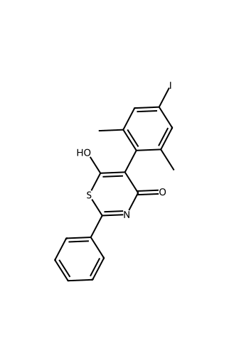 Cc1cc(I)cc(C)c1-c1c(O)sc(-c2ccccc2)nc1=O